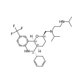 CC(C)NCCN(C[C@H]1CC[C@@H]2[C@H](O1)c1cc(C(F)(F)F)ccc1N[C@H]2C1C=CC=CC1)C(C)C